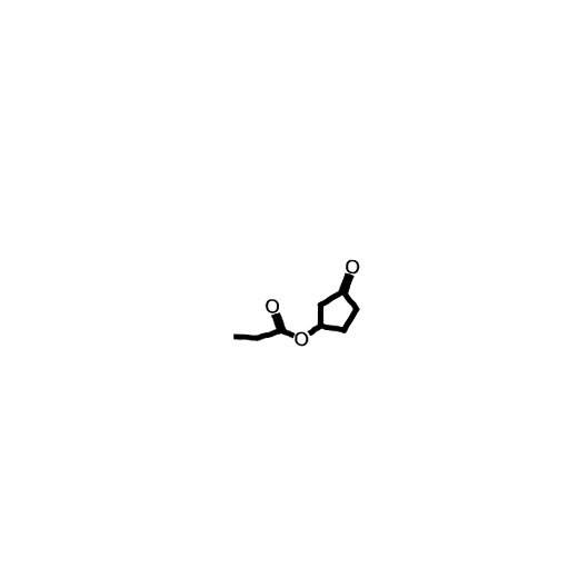 CCC(=O)OC1CCC(=O)C1